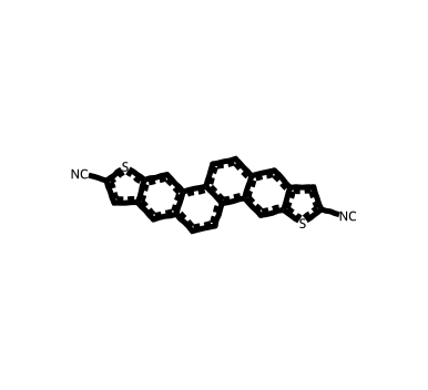 [C-]#[N+]c1cc2cc3ccc4c5cc6sc(C#N)cc6cc5ccc4c3cc2s1